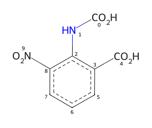 O=C(O)Nc1c(C(=O)O)cccc1[N+](=O)[O-]